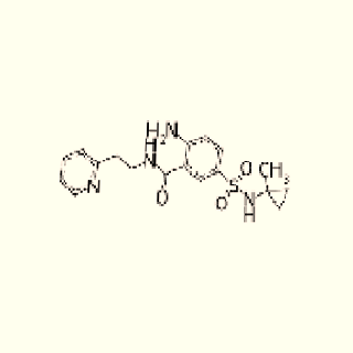 CC1(NS(=O)(=O)c2ccc(N)c(C(=O)NCCc3ccccn3)c2)CC1